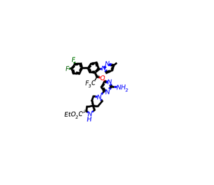 CCOC(=O)[C@@H]1CC2(CCN(c3cc(O[C@H](c4cc(-c5ccc(F)c(F)c5)ccc4-n4ccc(C)n4)C(F)(F)F)nc(N)n3)CC2)CN1